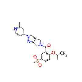 Cc1cc(-n2cc3c(n2)CN(C(=O)c2cc(S(C)(=O)=O)ccc2O[C@@H](C)C(F)(F)F)C3)ccn1